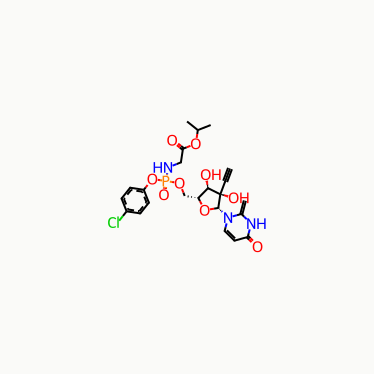 C#C[C@@]1(O)[C@H](O)[C@@H](COP(=O)(NCC(=O)OC(C)C)Oc2ccc(Cl)cc2)O[C@H]1N1C=CC(=O)NC1=C